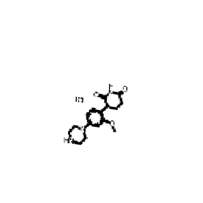 COc1cc(N2CCNCC2)ccc1C1CCC(=O)NC1=O.Cl